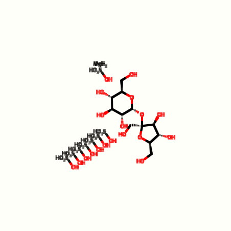 O=S(=O)(O)O.O=S(=O)(O)O.O=S(=O)(O)O.O=S(=O)(O)O.O=S(=O)(O)O.O=S(=O)(O)O.O=S(=O)(O)O.O=S(=O)(O)O.OC[C@H]1O[C@@](CO)(O[C@H]2O[C@H](CO)[C@@H](O)[C@H](O)[C@H]2O)[C@@H](O)[C@@H]1O.[MgH2]